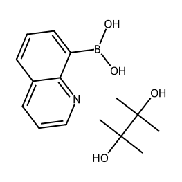 CC(C)(O)C(C)(C)O.OB(O)c1cccc2cccnc12